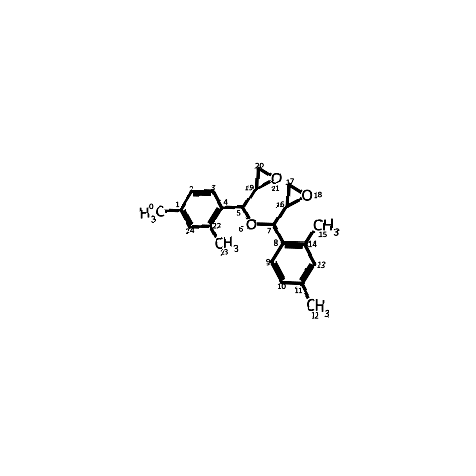 Cc1ccc(C(OC(c2ccc(C)cc2C)C2CO2)C2CO2)c(C)c1